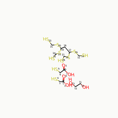 O=C(O)CS.O=C(O)CS.OCCO.SCSC(CC(SCS)SCS)SCS